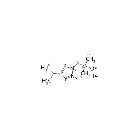 CC(C)c1cnn(CC(C)(C)OI)c1